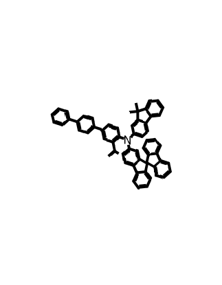 CC(C)c1cc(-c2ccc(-c3ccccc3)cc2)ccc1N(c1ccc2c(c1)C(C)(C)c1ccccc1-2)c1ccc2c(c1)C1(c3ccccc3-c3ccccc31)c1ccccc1-2